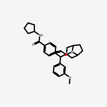 C=CCN1C2CCC1CN(C(c1ccc(C(=O)NC3CCCC3)cc1)c1cccc(OC)c1)C2